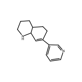 C1=C(c2cccnc2)CCC2CCCNC12